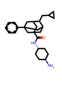 N[C@H]1CC[C@H](NC(=O)C23CC4CC(c5ccccc5)(CC(C2)C4CC2CC2)C3)CC1